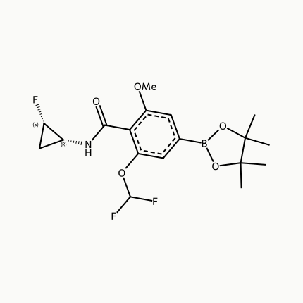 COc1cc(B2OC(C)(C)C(C)(C)O2)cc(OC(F)F)c1C(=O)N[C@@H]1C[C@@H]1F